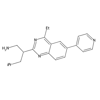 CCc1nc(C(CN)CC(C)C)nc2ccc(-c3ccncc3)cc12